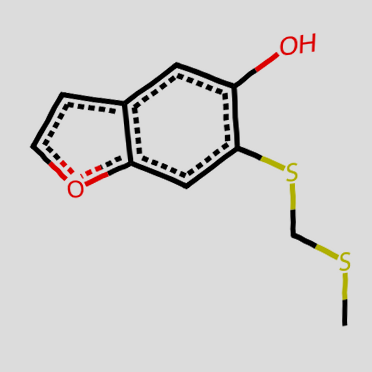 CSCSc1cc2occc2cc1O